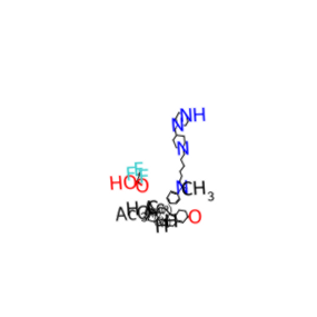 CC(=O)O[C@]1(C(C)=O)CC[C@H]2[C@@H]3CCC4=CC(=O)CCC4=C3[C@@H](c3ccc(N(C)CCCCCCN4CCC(CN5CCNCC5)CC4)cc3)C[C@@]21C.O=C(O)C(F)(F)F